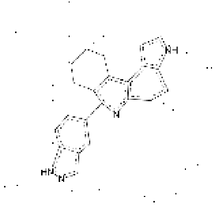 c1cc2c(ccc3nc(-c4ccc5[nH]ncc5c4)c4c(c32)CCCC4)[nH]1